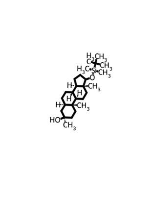 CC(C)(C)[Si](C)(C)OC1CC[C@@H]2[C@H]3CC[C@@H]4C[C@](C)(O)CC[C@@]4(C)[C@@H]3CC[C@@]12C